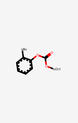 CCCCCCCCOC(=O)Oc1ccccc1CCCC